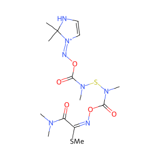 CSC(=NOC(=O)N(C)SN(C)C(=O)ON=[N+]1C=CNC1(C)C)C(=O)N(C)C